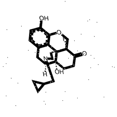 O=C1CC[C@@]2(O)[C@H]3Cc4ccc(O)c5c4[C@@]2(CCN3CC2CC2)[C@H]1CO5